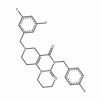 O=C1C2=C(CCN(Cc3cc(F)cc(F)c3)C2)N2CCCN=C2N1Cc1ccc(F)cc1